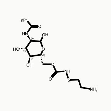 CCCC(=O)N[C@H]1C(O)O[C@H](COC(=O)NSCCN)[C@@H](O)[C@@H]1O